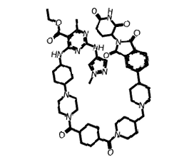 CCOC(=O)c1c(C)nc(Nc2cnn(C)c2)nc1NC1CCC(N2CCN(C(=O)C3CCC(C(=O)N4CCC(CN5CCC(c6ccc7c(c6)C(=O)N(C6CCC(=O)NC6=O)C7=O)CC5)CC4)CC3)CC2)CC1